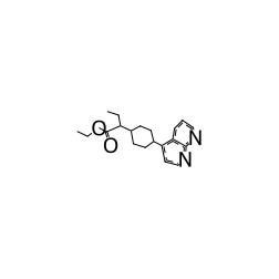 CCOC(=O)C(CC)C1CCC(c2ccnc3ncccc23)CC1